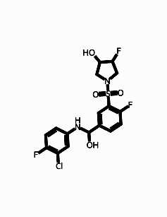 O=S(=O)(c1cc(C(O)Nc2ccc(F)c(Cl)c2)ccc1F)N1CC(O)C(F)C1